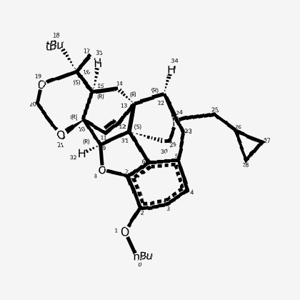 CCCCOc1ccc2c3c1O[C@H]1[C@@]45C=C[C@@]6(C[C@@H]4[C@@](C)(C(C)(C)C)OCO5)[C@@H](C2)N(CC2CC2)CC[C@]316